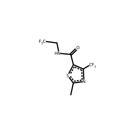 Cc1nc(C(F)(F)F)c(C(=O)NCC(F)(F)F)s1